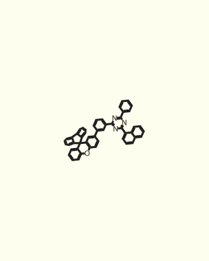 c1ccc(-c2nc(-c3cccc(-c4ccc5c(c4)C4(c6ccccc6O5)c5ccccc5-c5ccccc54)c3)nc(-c3cccc4ccccc34)n2)cc1